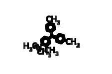 C=c1ccc(=C(c2ccc(C)cc2)c2ccc(N(C)C)c(C)c2)cc1